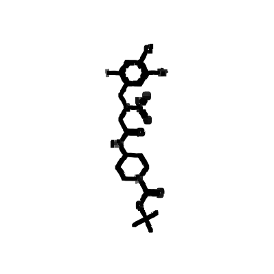 CC(C)(C)OC(=O)N1CCC(NC(=O)CN(Cc2cc(Br)c(Cl)cc2I)[SH](=O)=O)CC1